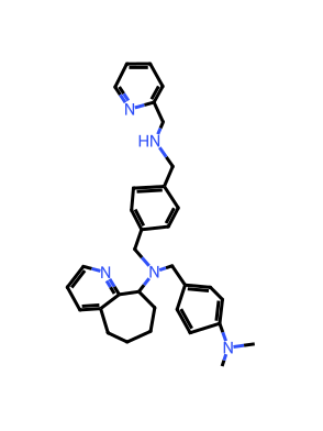 CN(C)c1ccc(CN(Cc2ccc(CNCc3ccccn3)cc2)C2CCCCc3cccnc32)cc1